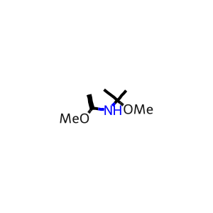 C=C(NC(C)(C)OC)OC